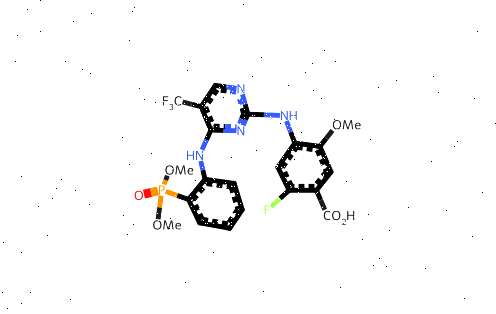 COc1cc(C(=O)O)c(F)cc1Nc1ncc(C(F)(F)F)c(Nc2ccccc2P(=O)(OC)OC)n1